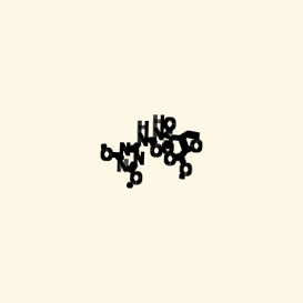 COC(=O)c1occc1S(=O)(=O)NC(=O)Nc1nc(OC)nc(OC)n1